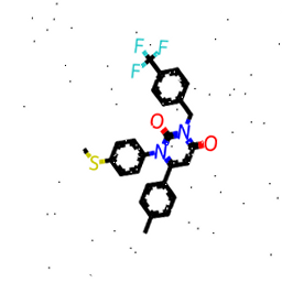 CSc1ccc(-n2c(-c3ccc(C)cc3)cc(=O)n(Cc3ccc(C(F)(F)F)cc3)c2=O)cc1